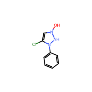 ON1C=C(Cl)N(c2ccccc2)N1